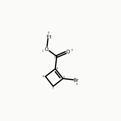 CCOC(=O)C1=C(Br)CC1